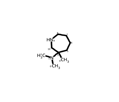 CN(C)C1(C)CCCCNC1